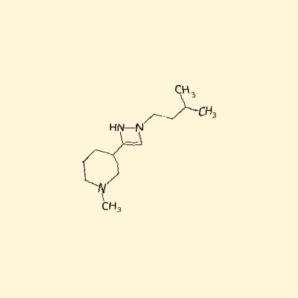 CC(C)CCn1cc(C2CCCN(C)C2)[nH]1